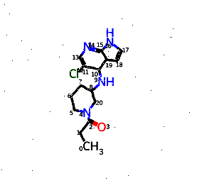 CCC(=O)N1CCCC(NC2C(Cl)=CN=C3NC=CC32)C1